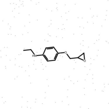 CCNc1ccc(OCC2CO2)cc1